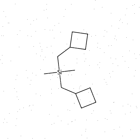 C[Si](C)(CC1CCC1)CC1CCC1